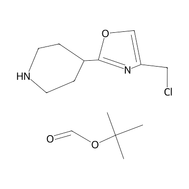 CC(C)(C)OC=O.ClCc1coc(C2CCNCC2)n1